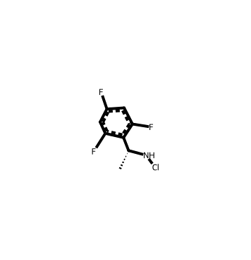 C[C@@H](NCl)c1c(F)cc(F)cc1F